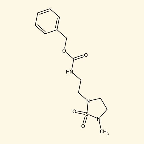 CN1CCN(CCNC(=O)OCc2ccccc2)S1(=O)=O